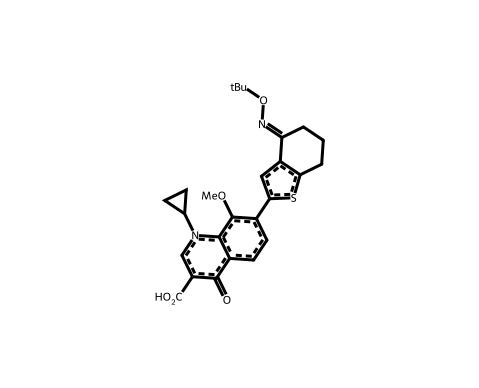 COc1c(-c2cc3c(s2)CCC/C3=N\OC(C)(C)C)ccc2c(=O)c(C(=O)O)cn(C3CC3)c12